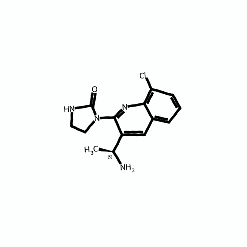 C[C@H](N)c1cc2cccc(Cl)c2nc1N1CCNC1=O